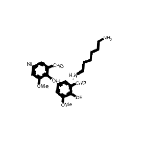 COc1cccc(C=O)c1O.COc1cccc(C=O)c1O.NCCCCCCN.[Ni]